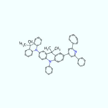 CC1(C)c2ccccc2N(c2ccc3c(c2)C(C)(C)c2cc(-c4cc(-c5ccccc5)nc(-c5ccccc5)c4)ccc2N3c2ccccc2)c2ccccc21